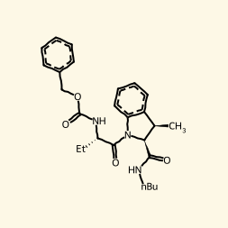 CCCCNC(=O)[C@@H]1[C@H](C)c2ccccc2N1C(=O)[C@H](CC)NC(=O)OCc1ccccc1